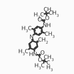 C=C1C=C(NC(=O)OC(C)(C)C)C(C)=C/C1=N/c1cc(C)c(NC(=O)OC(C)(C)C)cc1C